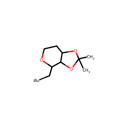 CCC(C)CC1OCCC2OC(C)(C)OC12